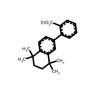 CCOC(=O)c1ccccc1-c1ccc2c(c1)C(C)(C)CCC2(C)C